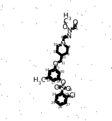 CON(C=O)N=CN1CCC(COc2cc(C)cc(OS(=O)(=O)c3ccccc3Cl)c2)CC1